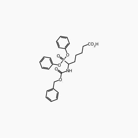 O=C(O)CCCCC(NC(=O)OCc1ccccc1)P(=O)(Oc1ccccc1)Oc1ccccc1